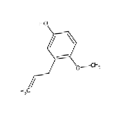 C=CCc1cc(O)ccc1OC